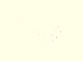 CC(C)(C)OC(=O)ON1CCN(c2ccc(Nc3ncc4ccc(=O)n(C5CC5)c4n3)nc2)CC1